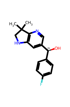 CC1(C)CNc2cc([C@@H](O)c3ccc(F)cc3)cnc21